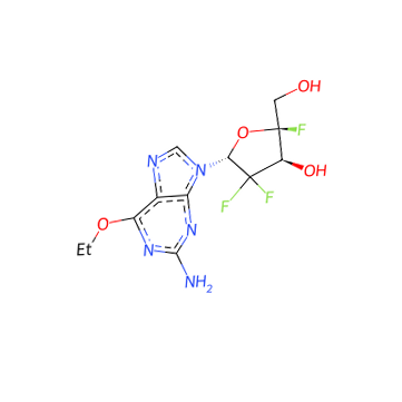 CCOc1nc(N)nc2c1ncn2[C@@H]1O[C@](F)(CO)[C@@H](O)C1(F)F